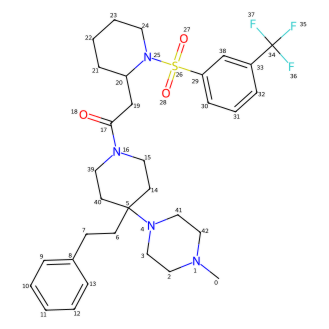 CN1CCN(C2(CCc3ccccc3)CCN(C(=O)CC3CCCCN3S(=O)(=O)c3cccc(C(F)(F)F)c3)CC2)CC1